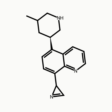 CC1CNC[C@@H](c2ccc(C3C=N3)c3ncccc23)C1